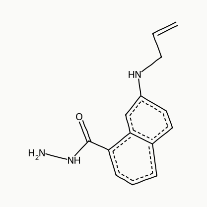 C=CCNc1ccc2cccc(C(=O)NN)c2c1